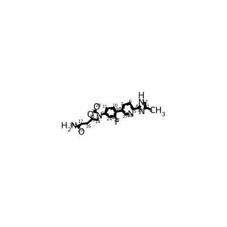 Cc1c[nH]c(-c2ccc(-c3ccc(N4CC(CCC(N)=O)OC4=O)cc3F)cn2)n1